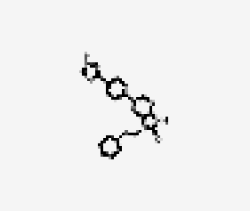 O=c1[nH]c2ncc(-c3ccc(-c4nc[nH]n4)cc3)nc2n1CCc1ccccc1